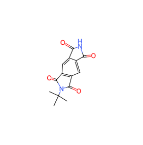 CC(C)(C)n1c(=O)c2cc3c(=O)[nH]c(=O)c3cc2c1=O